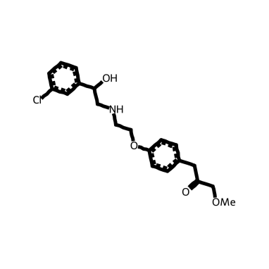 COCC(=O)Cc1ccc(OCCNCC(O)c2cccc(Cl)c2)cc1